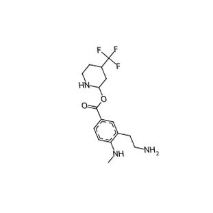 CNc1ccc(C(=O)OC2CC(C(F)(F)F)CCN2)cc1CCN